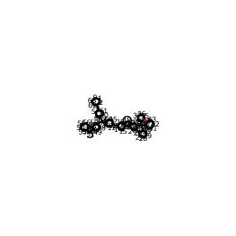 c1ccc(-c2ccc(N(c3ccc(-c4ccc5c(c4)oc4cc6c(cc45)-c4ccccc4C6(c4ccccc4)c4ccccc4)cc3)c3ccc4sc5ccccc5c4c3)cc2)cc1